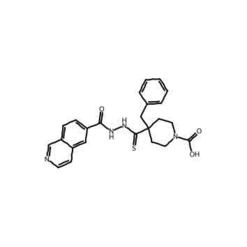 O=C(NNC(=S)C1(Cc2ccccc2)CCN(C(=O)O)CC1)c1ccc2cnccc2c1